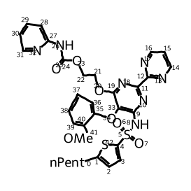 CCCCCc1ccc(S(=O)(=O)Nc2nc(-c3ncccn3)nc(OCCOC(=O)Nc3ccccn3)c2Oc2ccccc2OC)s1